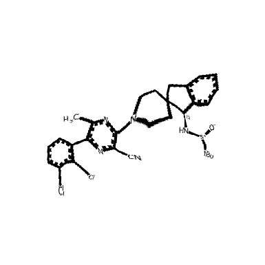 Cc1nc(N2CCC3(CC2)Cc2ccccc2[C@H]3N[S+]([O-])C(C)(C)C)c(C#N)nc1-c1cccc(Cl)c1Cl